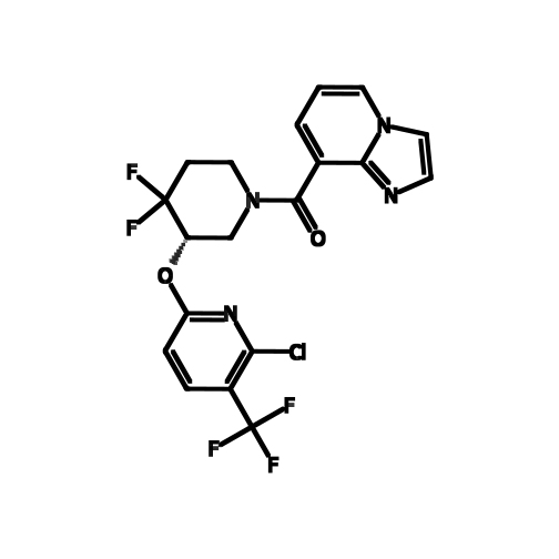 O=C(c1cccn2ccnc12)N1CCC(F)(F)[C@@H](Oc2ccc(C(F)(F)F)c(Cl)n2)C1